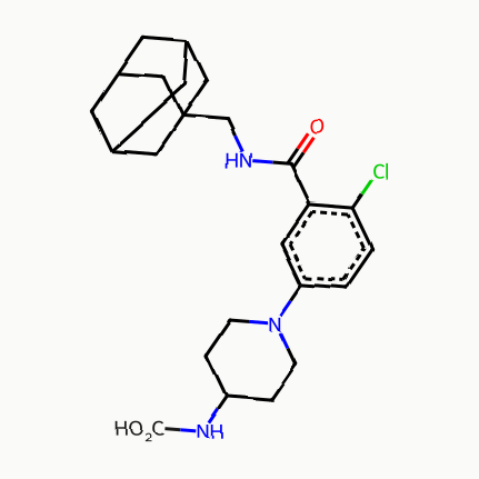 O=C(O)NC1CCN(c2ccc(Cl)c(C(=O)NCC34CC5CC(CC(C5)C3)C4)c2)CC1